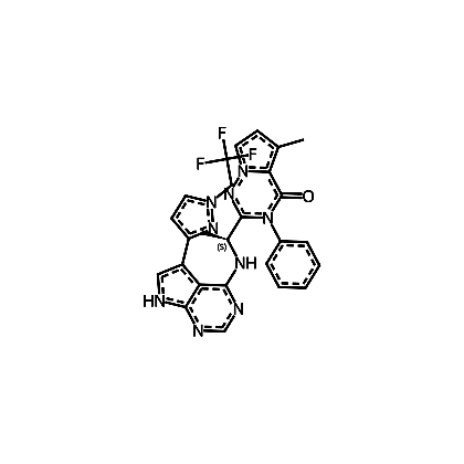 Cc1ccn2nc([C@H](C)Nc3ncnc4[nH]cc(-c5ccn(CC(F)(F)F)n5)c34)n(-c3ccccc3)c(=O)c12